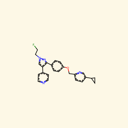 FCCn1cc(-c2ccncc2)c(-c2ccc(OCc3ccc(C4CC4)cn3)cc2)n1